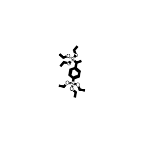 CCO[Si](OCC)(OCC)c1ccc(C(C)[Si](OCC)(OCC)OCC)cc1